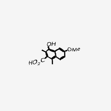 COc1ccc2c(C)c(C(=O)O)c(C)c(O)c2c1